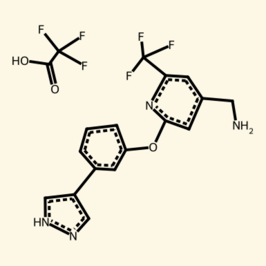 NCc1cc(Oc2cccc(-c3cn[nH]c3)c2)nc(C(F)(F)F)c1.O=C(O)C(F)(F)F